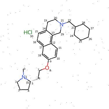 CN1CCC[C@H]1CCOc1ccc2c3c(ccc2c1)CCN(CC1CCCCC1)C3.Cl